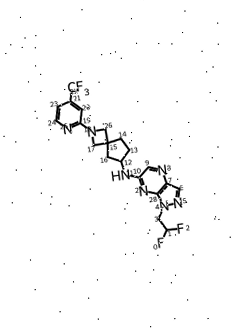 FC(F)Cn1ncc2ncc(NC3CCC4(C3)CN(c3cc(C(F)(F)F)ccn3)C4)nc21